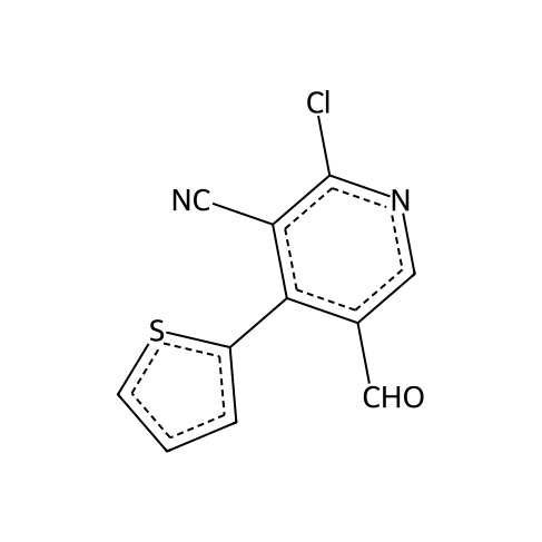 N#Cc1c(Cl)ncc(C=O)c1-c1cccs1